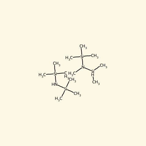 CN([SiH](C)C)[Si](C)(C)C.C[Si](C)(C)N[Si](C)(C)C